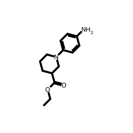 CCOC(=O)C1CCCN(c2ccc(N)cc2)C1